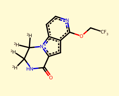 [2H]C1([2H])NC(=O)c2cc3c(OCC(F)(F)F)nccc3n2C1([2H])[2H]